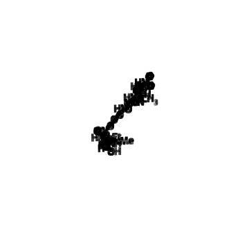 CC[C@H](NC)C(=O)N[C@@H]1C(=O)N2[C@@H](CC[C@@H]1CO)CC[C@H]2C(=O)N[C@H](C(=O)NCCOCCOCCOCCNC(=O)COCC(=O)NC[C@H]1CC[C@H]2CC[C@@H](C(=O)NC(c3ccccc3)c3ccccc3)N2C(=O)[C@H]1NC(=O)[C@H](C)NC)c1ccccc1